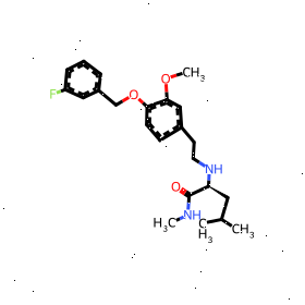 CNC(=O)[C@H](CC(C)C)NCCc1ccc(OCc2cccc(F)c2)c(OC)c1